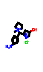 C[N+]1(C(c2ccc(N)cc2)C2CC(O)CN2)CCCC1.[Cl-]